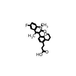 Cc1c(-c2ccc(CCC(=O)O)c3c2OCCC3)c(=O)n(C)c2ccc(F)cc12